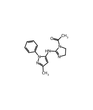 CC(=O)N1CCN=C1Nc1cc(C)nn1-c1ccccc1